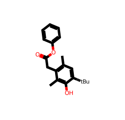 Cc1cc(C(C)(C)C)c(O)c(C)c1CC(=O)Oc1ccccc1